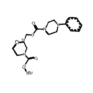 CC(C)(C)OC(=O)N1CCO[C@@H](COC(=O)N2CCN(c3ccccc3)CC2)C1